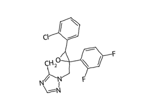 [CH2]c1ncnn1CC1(c2ccc(F)cc2F)OC1c1ccccc1Cl